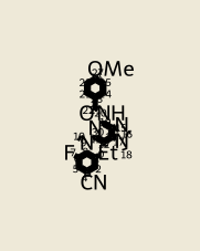 CCc1cc(C#N)cc(F)c1N(C)c1cc2c(ncn2C)c(NC(=O)c2ccc(OC)cc2)n1